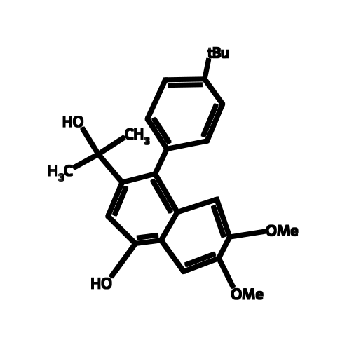 COc1cc2c(O)cc(C(C)(C)O)c(-c3ccc(C(C)(C)C)cc3)c2cc1OC